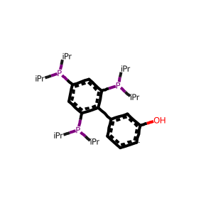 CC(C)P(c1cc(P(C(C)C)C(C)C)c(-c2cc[c]c(O)c2)c(P(C(C)C)C(C)C)c1)C(C)C